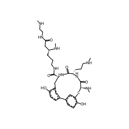 CNCCC[C@@H]1NC(=O)[C@@H](NC)Cc2cc(ccc2O)-c2ccc(O)c(c2)C[C@@H](C(=O)NCCC[C@@H](CC(=O)NCCNC)NC)NC1=O